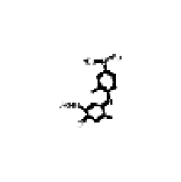 CCCCN(CCCC)c1ccc(N=C2C=C(NC(C)=O)C(=O)C=C2C)c(C)c1